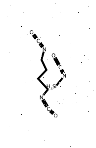 O=C=NCCCCN=C=O.O=C=N[SiH3]